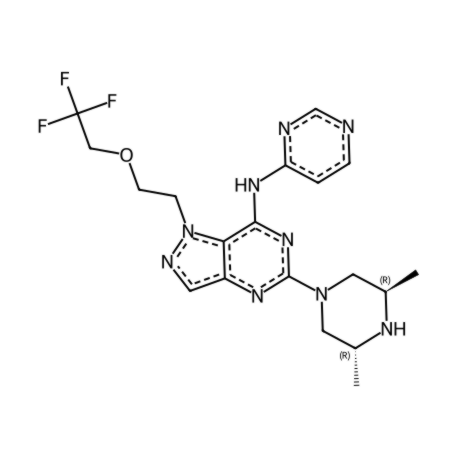 C[C@@H]1CN(c2nc(Nc3ccncn3)c3c(cnn3CCOCC(F)(F)F)n2)C[C@@H](C)N1